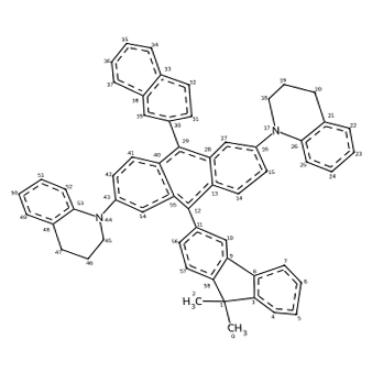 CC1(C)c2ccccc2-c2cc(-c3c4ccc(N5CCCc6ccccc65)cc4c(-c4ccc5ccccc5c4)c4ccc(N5CCCc6ccccc65)cc34)ccc21